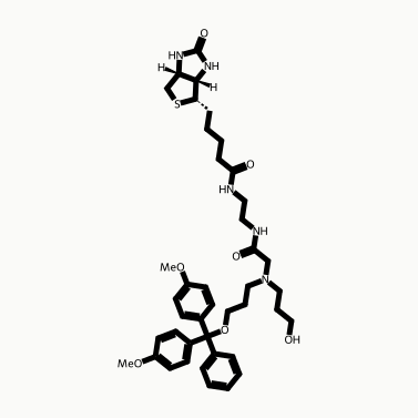 COc1ccc(C(OCCCN(CCCO)CC(=O)NCCNC(=O)CCCC[C@@H]2SC[C@@H]3NC(=O)N[C@@H]32)(c2ccccc2)c2ccc(OC)cc2)cc1